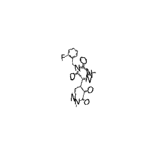 CN1N=CC(c2nn(C)c(=O)n(Cc3ccccc3F)c2=O)C(=O)C1=O